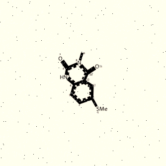 CSc1ccc2[nH]c(=O)n(C)c(=O)c2c1